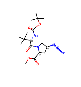 COC(=O)[C@@H]1C[C@H](N=[N+]=[N-])CN1C(=O)[C@@H](NC(=O)OC(C)(C)C)C(C)(C)C